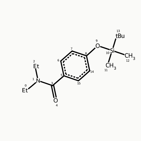 CCN(CC)C(=O)c1ccc(O[Si](C)(C)C(C)(C)C)cc1